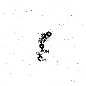 O=C(OC[C@@H](O)c1ccc(-c2noc(-c3snc(-c4ccccc4)c3C(F)(F)F)n2)cc1)C1CCCNC1